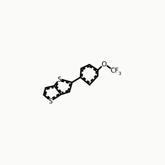 FC(F)(F)Oc1ccc(-c2cc3sccc3s2)cc1